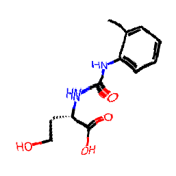 Cc1ccccc1NC(=O)N[C@@H](CCO)C(=O)O